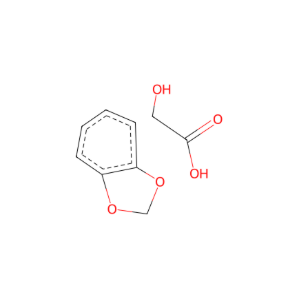 O=C(O)CO.c1ccc2c(c1)OCO2